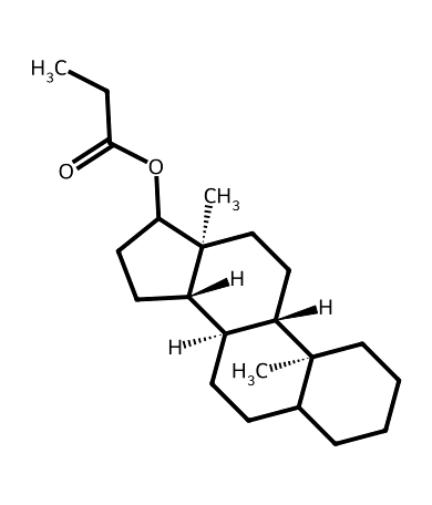 CCC(=O)OC1CC[C@H]2[C@@H]3CCC4CCCC[C@]4(C)[C@H]3CC[C@]12C